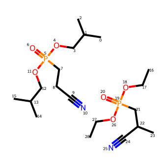 CC(C)COP(=O)(CCC#N)OCC(C)C.CCOP(=O)(CC(C)C#N)OCC